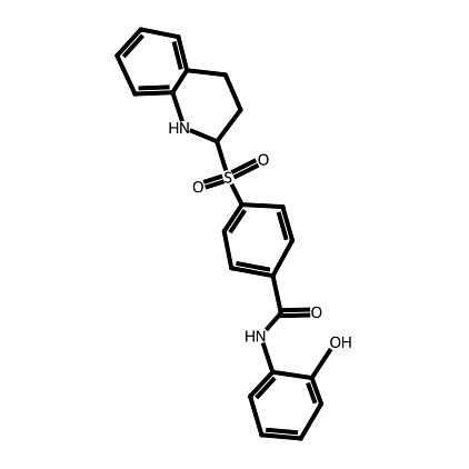 O=C(Nc1ccccc1O)c1ccc(S(=O)(=O)C2CCc3ccccc3N2)cc1